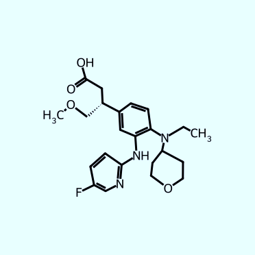 CCN(c1ccc([C@H](COC)CC(=O)O)cc1Nc1ccc(F)cn1)C1CCOCC1